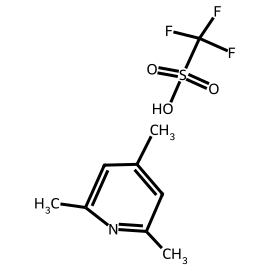 Cc1cc(C)nc(C)c1.O=S(=O)(O)C(F)(F)F